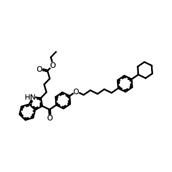 CCOC(=O)CCCc1[nH]c2ccccc2c1C(=O)c1ccc(OCCCCCc2ccc(C3CCCCC3)cc2)cc1